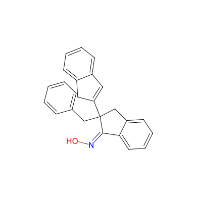 ON=C1c2ccccc2CC1(Cc1ccccc1)C1=Cc2ccccc2C1